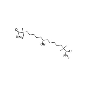 CNC(=O)C(C)(C)CCCCCC(O)CCCCCC(C)(C)C(N)=O